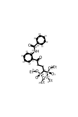 CCOP(=O)(OCC)C(CCC(=O)c1ccccc1NC(=O)c1ccccc1)P(=O)(OCC)OCC